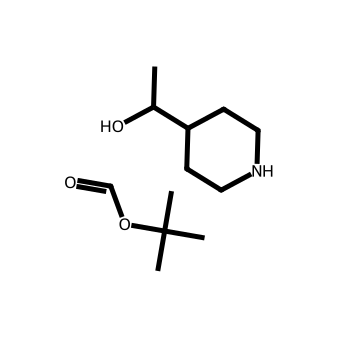 CC(C)(C)OC=O.CC(O)C1CCNCC1